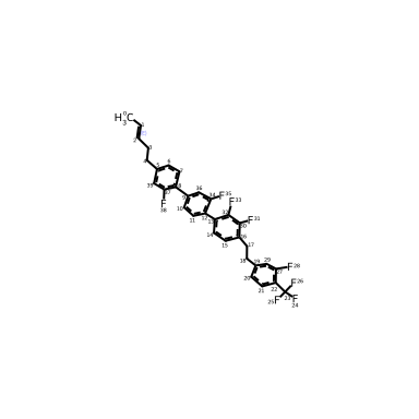 C/C=C/CCc1ccc(-c2ccc(-c3ccc(CCc4ccc(C(F)(F)F)c(F)c4)c(F)c3F)c(F)c2)c(F)c1